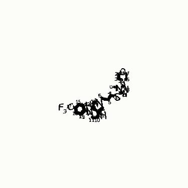 Cn1c(SCCCN2C[C@H]3CCN(c4ccc(C(F)(F)F)cc4)[C@H]3C2)nnc1N1CCOCC1